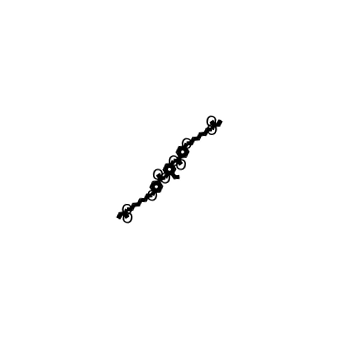 C=CC(=O)OCCCCCCOc1ccc(C(=O)Oc2ccc(OC(=O)c3ccc(OCCCCCCOC(=O)C=C)cc3)c(CC)c2)cc1